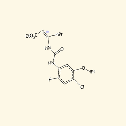 CCC/C(=C/C(=O)OCC)NC(=O)Nc1cc(OC(C)C)c(Cl)cc1F